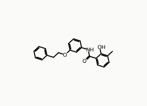 Cc1cccc(C(=O)Nc2cccc(OCCc3ccccc3)c2)c1O